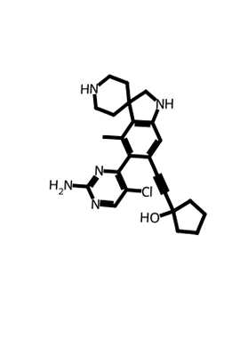 Cc1c(-c2nc(N)ncc2Cl)c(C#CC2(O)CCCC2)cc2c1C1(CCNCC1)CN2